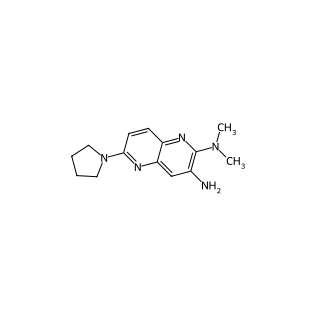 CN(C)c1nc2ccc(N3CCCC3)nc2cc1N